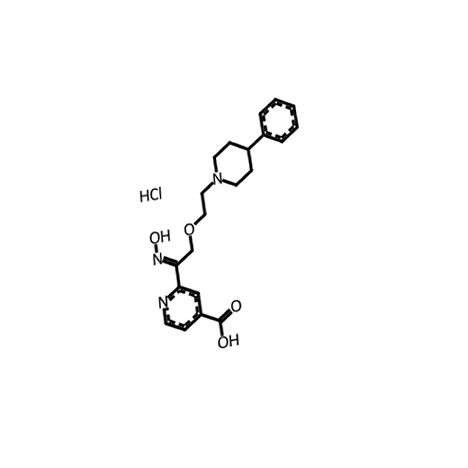 Cl.O=C(O)c1ccnc(/C(COCCN2CCC(c3ccccc3)CC2)=N/O)c1